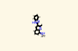 Cc1nc2c(cc1-c1nc3ccccc3[nH]1)CCCC2NC(C)C